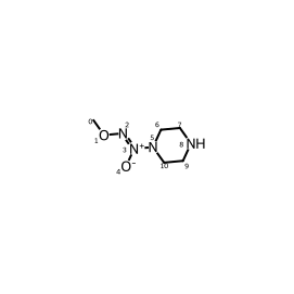 CO/N=[N+](\[O-])N1CCNCC1